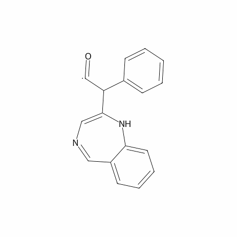 O=[C]C(C1=CN=Cc2ccccc2N1)c1ccccc1